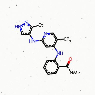 CCc1n[nH]cc1Nc1cc(Nc2ccccc2C(=O)NC)c(C(F)(F)F)cn1